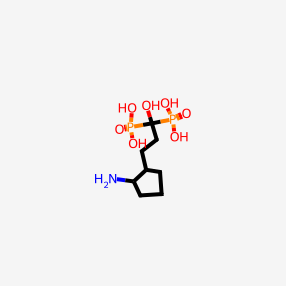 NC1CCCC1CCC(O)(P(=O)(O)O)P(=O)(O)O